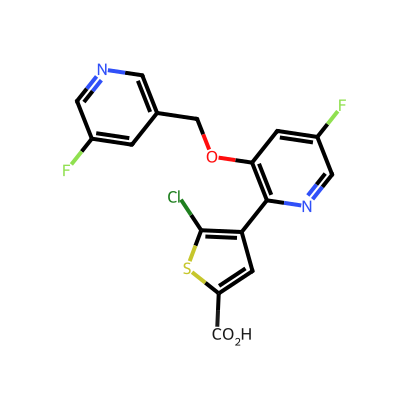 O=C(O)c1cc(-c2ncc(F)cc2OCc2cncc(F)c2)c(Cl)s1